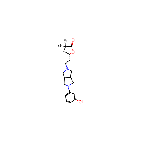 CCC1(CC)C[C@@H](CCN2CC3CN(c4cccc(O)c4)CC3C2)OC1=O